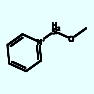 CO[SiH2][n+]1ccccc1